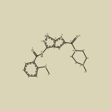 COc1ccccc1C(=O)Nc1n[nH]c2sc(C(=O)N3CCN(C)CC3)cc12